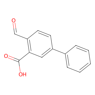 O=Cc1ccc(-c2ccccc2)cc1C(=O)O